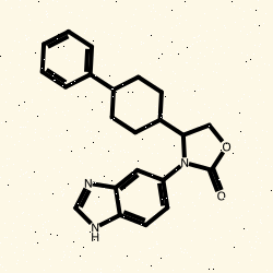 O=C1OCC(C2CCC(c3ccccc3)CC2)N1c1ccc2[nH]cnc2c1